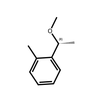 CO[C@H](C)c1ccccc1C